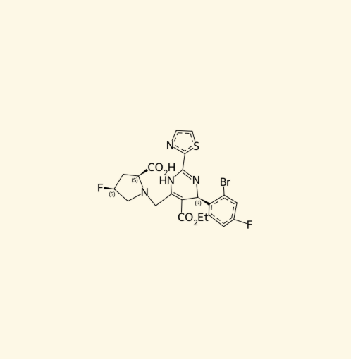 CCOC(=O)C1=C(CN2C[C@@H](F)C[C@H]2C(=O)O)NC(c2nccs2)=N[C@H]1c1ccc(F)cc1Br